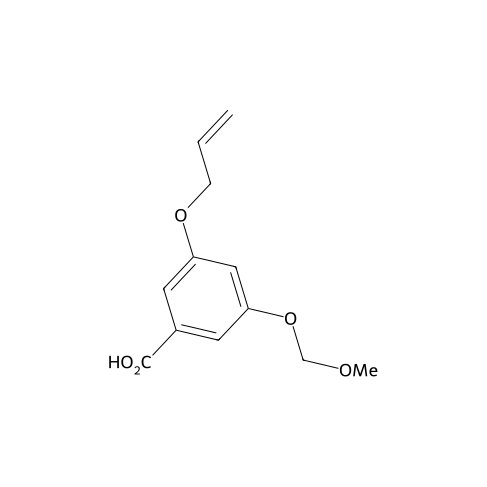 C=CCOc1cc(OCOC)cc(C(=O)O)c1